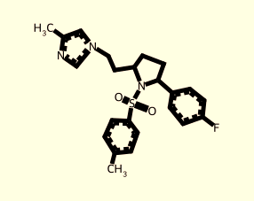 Cc1ccc(S(=O)(=O)N2C(CCn3cnc(C)c3)CCC2c2ccc(F)cc2)cc1